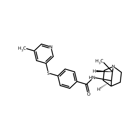 Cc1cncc(Sc2ccc(C(=O)N[C@@H]3C4CCN(CC4)[C@H]3C)cc2)c1